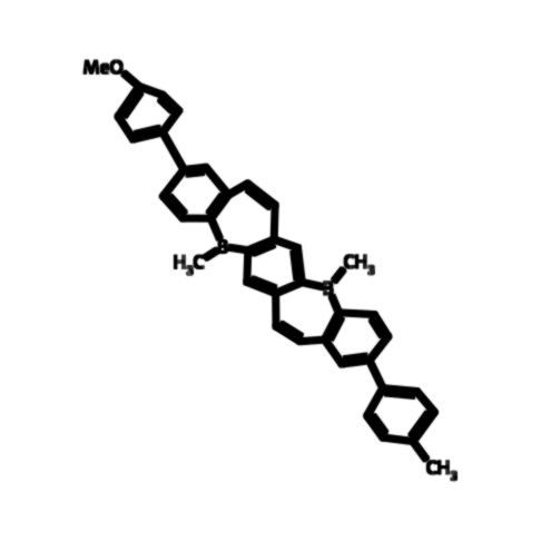 COc1ccc(-c2ccc3c(c2)C=Cc2cc4c(cc2B3C)C=Cc2cc(-c3ccc(C)cc3)ccc2B4C)cc1